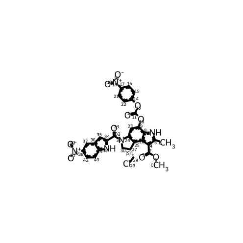 COC(=O)c1c(C)[nH]c2c(OC(=O)Oc3ccc([N+](=O)[O-])cc3)cc3c(c12)[C@H](CCl)CN3C(=O)c1cc2cc([N+](=O)[O-])ccc2[nH]1